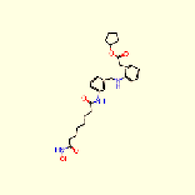 O=C(CCCCCCC(=O)Nc1cccc(CNc2ccccc2CC(=O)OC2CCCC2)c1)NO